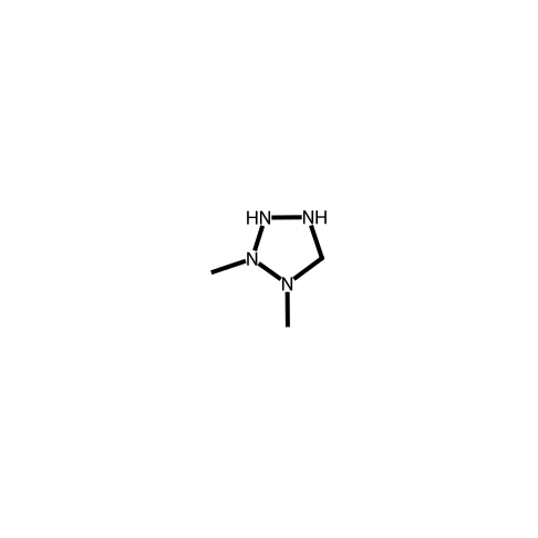 CN1CNNN1C